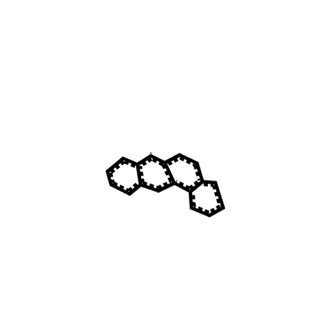 [c]1c2ccccc2cc2c1ccc1ccccc12